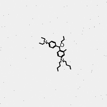 CCCCN(CCCC)c1ccc(C(OCCC)c2ccc(N(CC)CC)cc2)c(C)c1